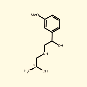 COc1cccc(C(O)CNC[C@H](C)O)c1